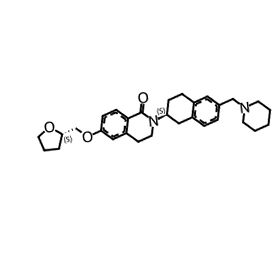 O=C1c2ccc(OC[C@@H]3CCCO3)cc2CCN1[C@H]1CCc2cc(CN3CCCCC3)ccc2C1